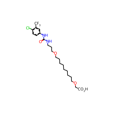 O=C(O)COCCCCCCCCCOCCCNC(=O)Nc1ccc(Cl)c(C(F)(F)F)c1